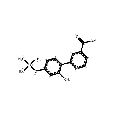 COC(=O)c1ccnc(-c2ccc(O[Si](C)(C)C(C)(C)C)cc2C)c1